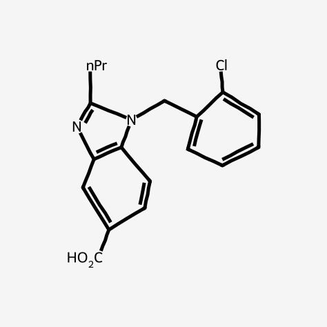 CCCc1nc2cc(C(=O)O)ccc2n1Cc1ccccc1Cl